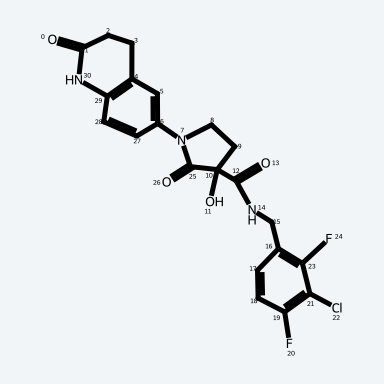 O=C1CCc2cc(N3CCC(O)(C(=O)NCc4ccc(F)c(Cl)c4F)C3=O)ccc2N1